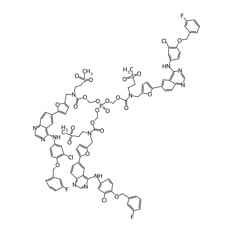 CS(=O)(=O)CCN(Cc1ccc(-c2ccc3ncnc(Nc4ccc(OCc5cccc(F)c5)c(Cl)c4)c3c2)o1)C(=O)OCOP(=O)(OCOC(=O)N(CCS(C)(=O)=O)Cc1ccc(-c2ccc3ncnc(Nc4ccc(OCc5cccc(F)c5)c(Cl)c4)c3c2)o1)OCOC(=O)N(CCS(C)(=O)=O)Cc1ccc(-c2ccc3ncnc(Nc4ccc(OCc5cccc(F)c5)c(Cl)c4)c3c2)o1